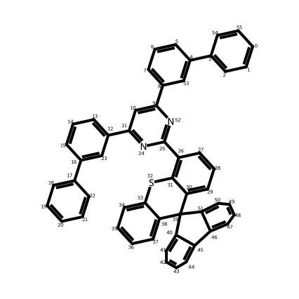 c1ccc(-c2cccc(-c3cc(-c4cccc(-c5ccccc5)c4)nc(-c4cccc5c4Sc4ccccc4C54c5ccccc5-c5ccccc54)n3)c2)cc1